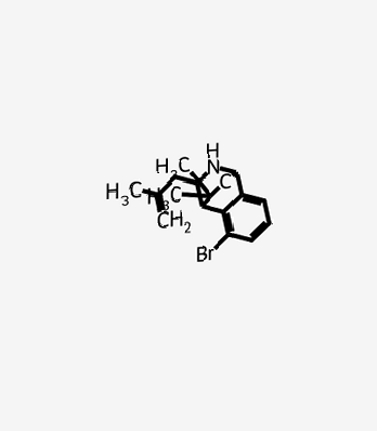 C=C(C)CC1NC2CC(C)(C)C1c1c(Br)cccc12